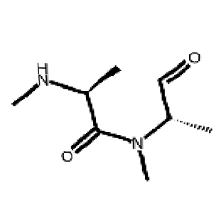 CN[C@@H](C)C(=O)N(C)[C@@H](C)C=O